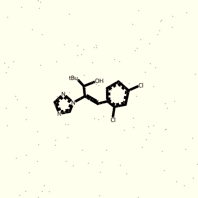 CC(C)(C)C(O)/C(=[C]\c1ccc(Cl)cc1Cl)n1cncn1